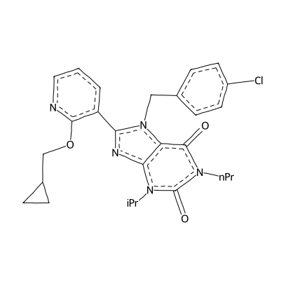 CCCn1c(=O)c2c(nc(-c3cccnc3OCC3CC3)n2Cc2ccc(Cl)cc2)n(C(C)C)c1=O